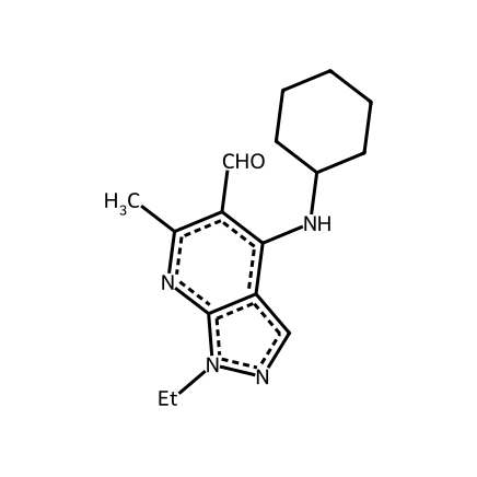 CCn1ncc2c(NC3CCCCC3)c(C=O)c(C)nc21